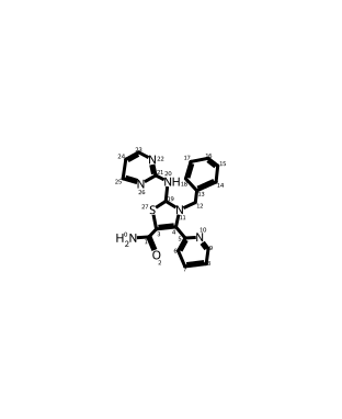 NC(=O)C1=C(c2ccccn2)N(Cc2ccccc2)C(Nc2ncccn2)S1